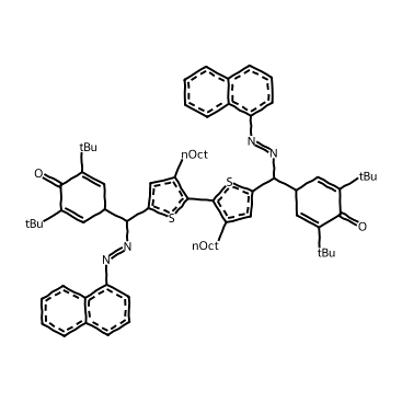 CCCCCCCCc1cc(C(/N=N/c2cccc3ccccc23)C2C=C(C(C)(C)C)C(=O)C(C(C)(C)C)=C2)sc1-c1sc(C(/N=N/c2cccc3ccccc23)C2C=C(C(C)(C)C)C(=O)C(C(C)(C)C)=C2)cc1CCCCCCCC